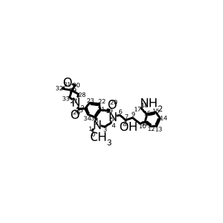 CCN1CCN(CC(O)CCc2ccccc2CN)C(=O)c2ccc(C(=O)N3CC4(COC4)C3)cc21